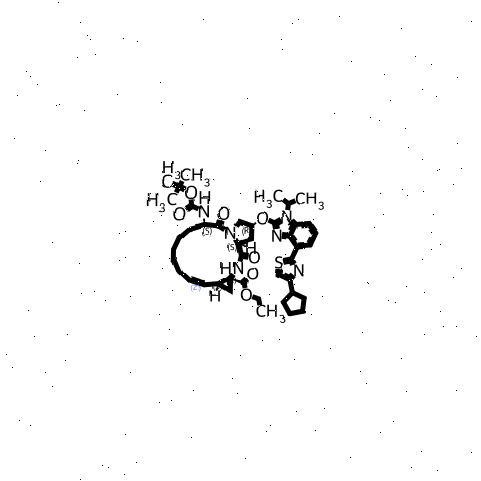 CCOC(=O)[C@@]12C[C@H]1/C=C\CCCCC[C@H](NC(=O)OC(C)(C)C)C(=O)N1C[C@H](Oc3nc4c(-c5nc(C6CCCC6)cs5)cccc4n3C(C)C)C[C@H]1C(=O)N2